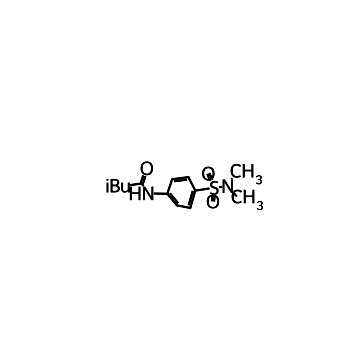 CCC(C)C(=O)Nc1ccc(S(=O)(=O)N(C)C)cc1